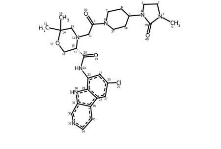 CN1CCN(C2CCN(C(=O)CN3CC(C)(C)OC[C@H]3C(=O)Nc3cc(Cl)cc4c3[nH]c3cnccc34)CC2)C1=O